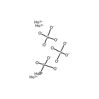 [Ho+3].[Ho+3].[Ho+3].[Ho+3].[O-][Si]([O-])([O-])[O-].[O-][Si]([O-])([O-])[O-].[O-][Si]([O-])([O-])[O-]